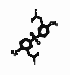 Cc1ccc(S(=O)(=O)c2ccc(C)c(CC(I)I)c2)cc1CC(I)I